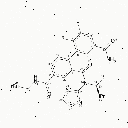 Cc1c(F)cc(C(N)=O)cc1-c1ccc(C(=O)NCC(C)(C)C)cc1C(=O)N(c1nccs1)[C@@H](C)C(C)C